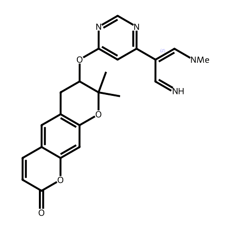 CN/C=C(\C=N)c1cc(OC2Cc3cc4ccc(=O)oc4cc3OC2(C)C)ncn1